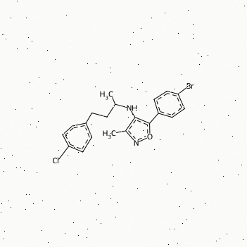 Cc1noc(-c2ccc(Br)cc2)c1NC(C)CCc1ccc(Cl)cc1